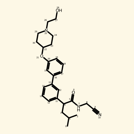 CC(C)CC(C(=O)NCC#N)c1cccc(-c2cccc(OC3CCN(CCO)CC3)c2)c1